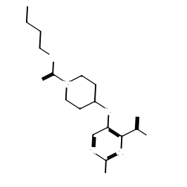 CCCCOC(=O)N1CCC(Nc2cnc(Cl)nc2C(=O)O)CC1